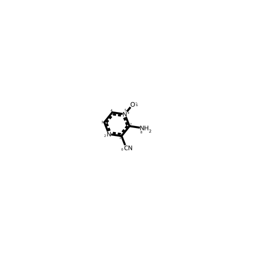 N#Cc1ncc[n+]([O-])c1N